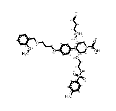 COc1ccccc1COCCCOc1ccc([C@@H]2[C@@H](OCCOS(=O)(=O)c3ccc(C)cc3)CN(C(=O)O)C[C@H]2O[SiH2]CCC=S)cc1